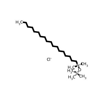 CCCCCCCCCCCCCCCCCC[N+](C)(C)O[Si](C)(C)C.[Cl-]